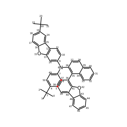 CC(C)(C)c1ccc(N(c2ccc3c(c2)oc2ccc(C(C)(C)C)cc23)c2ccc3ccccc3c2-c2cccc3c2oc2ccccc23)cc1